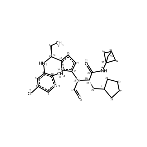 CC[C@H](Nc1cc(Cl)cnc1C)c1ccc(N(C=O)[C@@H](CC2CCCC2)C(=O)NC23CC(C2)C3)s1